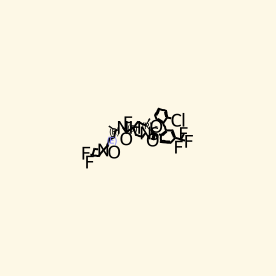 C[C@H](/C=C/C(=O)N1CC(F)(F)C1)NC(=O)[C@]1(F)CCN(S(=O)(=O)c2ccc(C(F)(F)F)cc2-c2ccccc2Cl)[C@H](C)C1